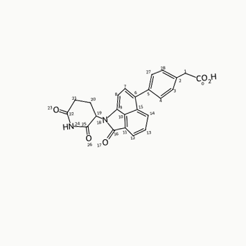 O=C(O)Cc1ccc(-c2ccc3c4c(cccc24)C(=O)N3C2CCC(=O)NC2=O)cc1